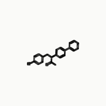 CC(=O)C(Cc1ccc(Cl)cc1)c1ccc(-c2ccccc2)cc1